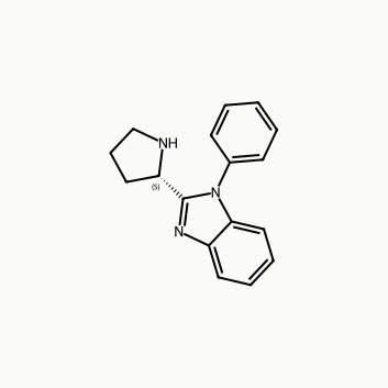 c1ccc(-n2c([C@@H]3CCCN3)nc3ccccc32)cc1